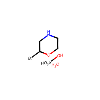 CCC1CNCCO1.O.O=S(=O)(O)O